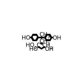 C=CC(=O)O.CC(C)(c1ccc(O)cc1)c1ccc(O)cc1.OCCCO